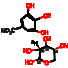 O=C(O)c1cc(O)c(O)c(O)c1.[2H][C@]1(O)[C@H](O)[C@H](O)CO[C@@H]1O